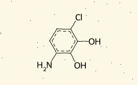 Nc1ccc(Cl)c(O)c1O